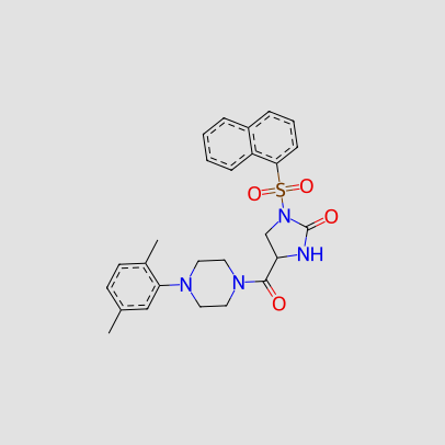 Cc1ccc(C)c(N2CCN(C(=O)C3CN(S(=O)(=O)c4cccc5ccccc45)C(=O)N3)CC2)c1